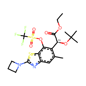 CCOC(=O)[C@@H](OC(C)(C)C)c1c(C)cc2nc(N3CCC3)sc2c1OS(=O)(=O)C(F)(F)F